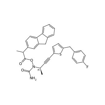 CC(C(=O)ON(C(N)=O)[C@H](C)C#Cc1ccc(Cc2ccc(F)cc2)s1)c1ccc2c(c1)Cc1ccccc1-2